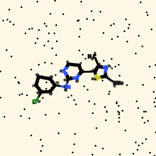 CNc1nc(C)c(-c2ccnc(Nc3cccc(Cl)c3)n2)s1